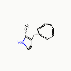 CC(=O)c1[nH]ccc1-c1ccccc1